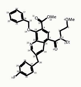 CCN(CCOC)C(=O)c1cc(C(=O)OC)c(OCc2ccccc2)c2ncc(Cc3ccc(F)cc3)cc12